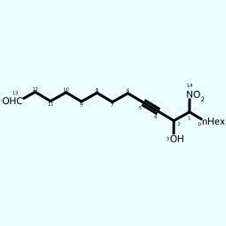 CCCCCCC(C(O)C#CCCCCCCC[C]=O)[N+](=O)[O-]